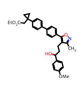 CCOC(=O)CC1(c2ccc(-c3ccc(-c4onc(C)c4CCC(O)c4ccc(OC)cc4)cc3)cc2)CC1